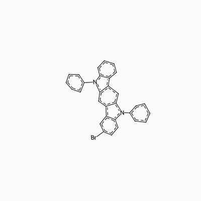 Brc1ccc2c(c1)c1cc3c(cc1n2-c1ccccc1)c1ccccc1n3-c1ccccc1